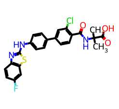 CC(C)(NC(=O)c1ccc(-c2ccc(Nc3nc4ccc(F)cc4s3)cc2)cc1Cl)C(=O)O